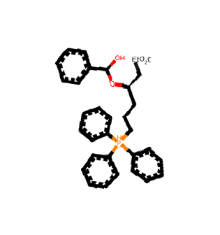 CCOC(=O)C[C@@H](CCC[PH](c1ccccc1)(c1ccccc1)c1ccccc1)OC(O)c1ccccc1